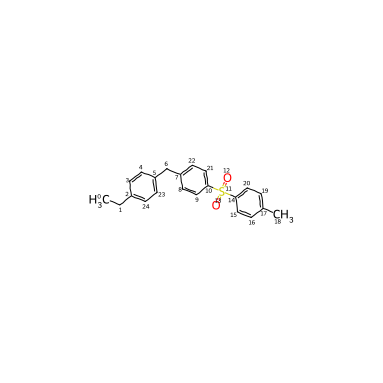 CCc1ccc(Cc2ccc(S(=O)(=O)c3ccc(C)cc3)cc2)cc1